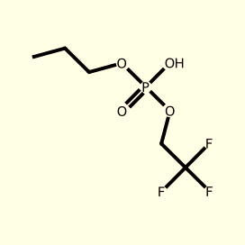 CCCOP(=O)(O)OCC(F)(F)F